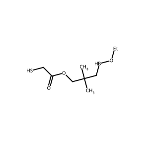 CCOBCC(C)(C)COC(=O)CS